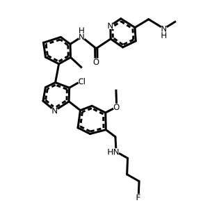 CNCc1ccc(C(=O)Nc2cccc(-c3ccnc(-c4ccc(CNCCCF)c(OC)c4)c3Cl)c2C)nc1